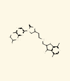 Cc1ncc(Cl)c2c1CC(CNCCC1CN(c3cnc4c(n3)NC(O)CO4)C(=O)O1)C2N